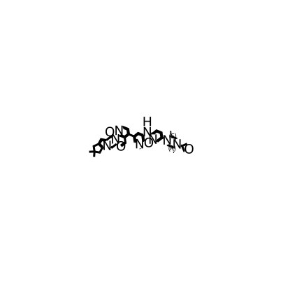 C[C@@H]1CN(c2ccc(Nc3cc(-c4ccnc(N5CCn6c(cc7c6CC(C)(C)C7)C5=O)c4C=O)cn(C)c3=O)nc2)[C@@H](C)CN1C1COC1